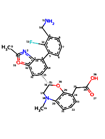 Cc1nc2c(-c3cccc(CN)c3F)cc([C@H]3CN(C)c4cccc(CC(=O)O)c4O3)cc2o1